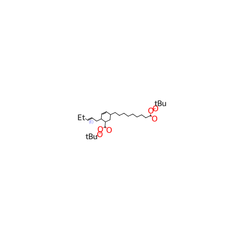 CC/C=C/CC1C=CC(CCCCCCCCC(=O)OOC(C)(C)C)CC1C(=O)OOC(C)(C)C